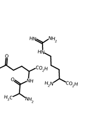 CC(N)C(=O)NC(CCC(N)=O)C(=O)O.N=C(N)NCCCC(N)C(=O)O